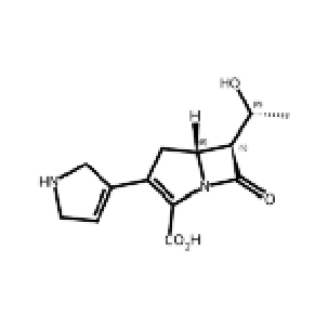 C[C@@H](O)[C@H]1C(=O)N2C(C(=O)O)=C(C3=CCNC3)C[C@H]12